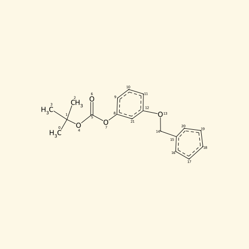 CC(C)(C)OC(=O)Oc1cccc(OCc2ccccc2)c1